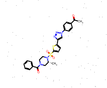 CC(=O)c1ccc(-n2cc(-c3ccc(S(=O)(=O)N4CCN(C(=O)c5ccccc5)C[C@H]4C)s3)nn2)cc1